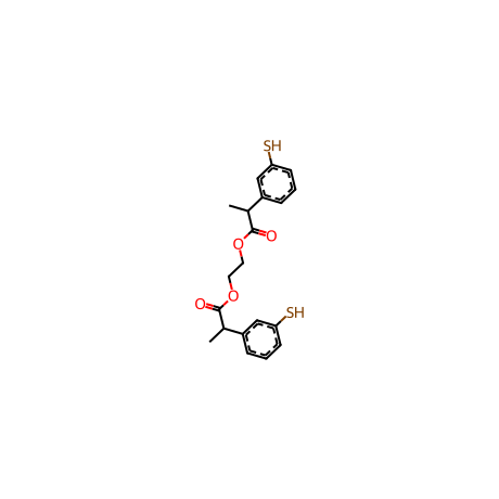 CC(C(=O)OCCOC(=O)C(C)c1cccc(S)c1)c1cccc(S)c1